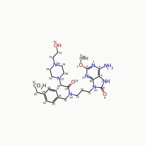 CCCCOc1nc(N)c2[nH]c(=O)n(CCCN(Cc3ccc(CC(=O)O)cc3)C(=O)CN3CCN(CCO)CC3)c2n1